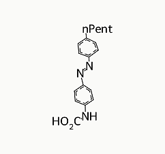 CCCCCc1ccc(N=Nc2ccc(NC(=O)O)cc2)cc1